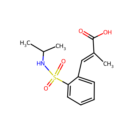 C/C(=C\c1ccccc1S(=O)(=O)NC(C)C)C(=O)O